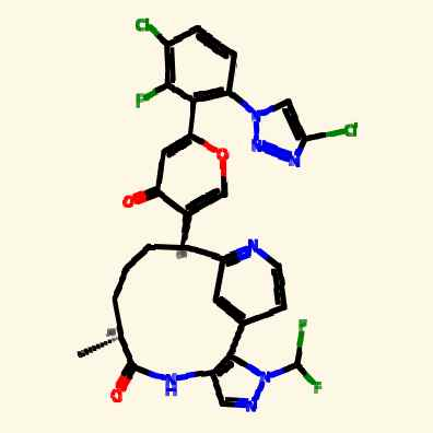 C[C@@H]1CCC[C@@H](c2coc(-c3c(-n4cc(Cl)nn4)ccc(Cl)c3F)cc2=O)c2cc(ccn2)-c2c(cnn2C(F)F)NC1=O